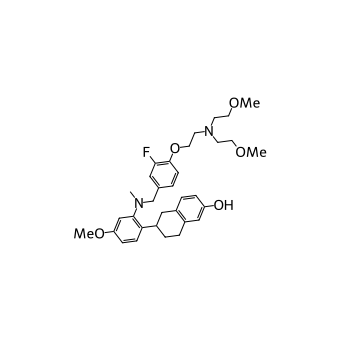 COCCN(CCOC)CCOc1ccc(CN(C)c2cc(OC)ccc2C2CCc3cc(O)ccc3C2)cc1F